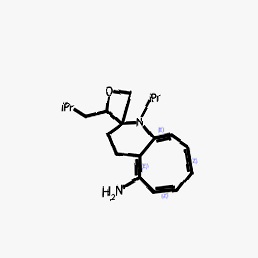 CC(C)CC1OCC12CCC1=C(N)/C=C\C=C/C=C\1N2C(C)C